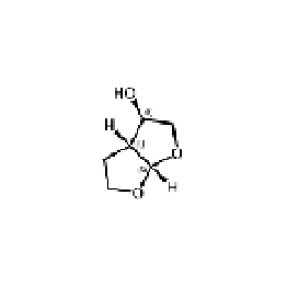 O[C@H]1CO[C@@H]2OCC[C@@H]21